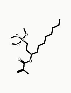 C=C(C)C(=O)OC(CCCCCCCC)CC[Si](OC)(OC)OC